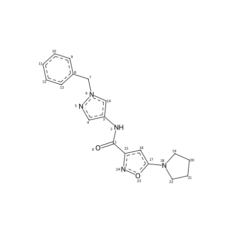 O=C(Nc1cnn(Cc2ccccc2)c1)c1cc(N2CCCC2)on1